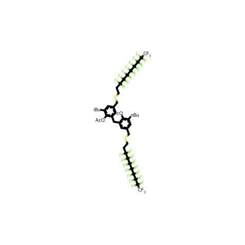 CCCCc1cc(CSCCC(F)(F)C(F)(F)C(F)(F)C(F)(F)C(F)(F)C(F)(F)C(F)(F)C(F)(F)F)cc(Cc2cc(CSCCC(F)(F)C(F)(F)C(F)(F)C(F)(F)C(F)(F)C(F)(F)C(F)(F)C(F)(F)F)cc(C(C)CC)c2OC(C)=O)c1OC(C)=O